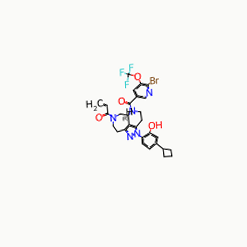 C=CC(=O)N1CCc2nn(-c3ccc(C4CCC4)cc3O)c3c2[C@H](C1)N(C(=O)c1cnc(Br)c(OC(F)(F)F)c1)CC3